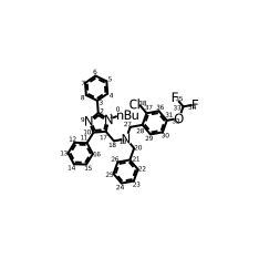 CCCCn1c(-c2ccccc2)nc(-c2ccccc2)c1CN(Cc1ccccc1)Cc1ccc(OC(F)F)cc1Cl